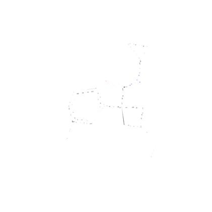 COC1CC(C(=O)NC2CC2)(c2cccc(Br)c2)C1